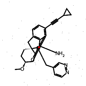 CO[C@H]1CC[C@]2(CC1)Cc1ccc(C#CC3CC3)cc1C21N=C(N)N(Cc2ccnnc2)C1=O